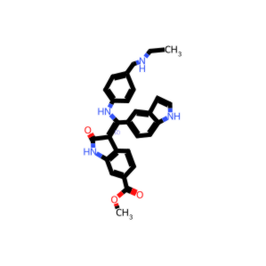 CCNCc1ccc(N/C(=C2\C(=O)Nc3cc(C(=O)OC)ccc32)c2ccc3[nH]ccc3c2)cc1